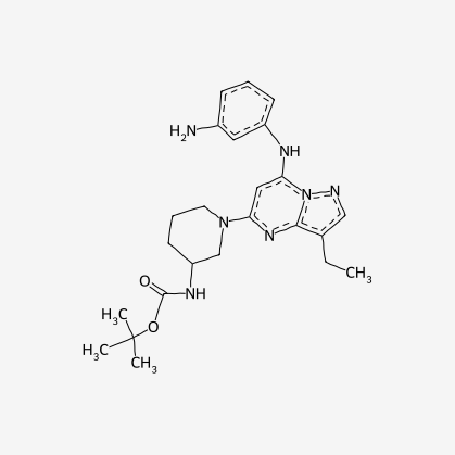 CCc1cnn2c(Nc3cccc(N)c3)cc(N3CCCC(NC(=O)OC(C)(C)C)C3)nc12